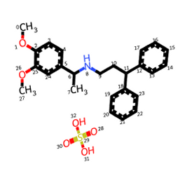 COc1ccc(C(C)NCCC(c2ccccc2)c2ccccc2)cc1OC.O=S(=O)(O)O